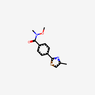 CON(C)C(=O)c1ccc(-c2nc(C)cs2)cc1